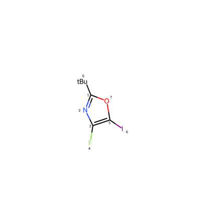 CC(C)(C)c1nc(F)c(I)o1